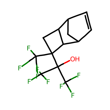 OC(C(F)(F)F)(C(F)(F)F)C1(C(F)(F)F)CC2C3C=CC(C3)C21